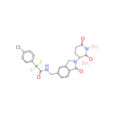 BN1C(=O)CC[C@](B)(N2Cc3cc(CNC(=O)C(F)(F)c4ccc(Cl)cc4)ccc3C2=O)C1=O